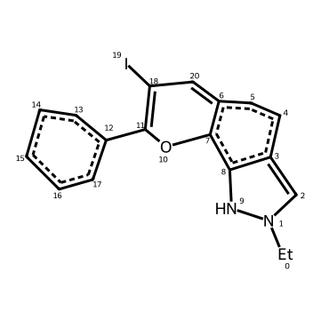 CCN1C=c2ccc3c(c2N1)OC(c1ccccc1)=C(I)C=3